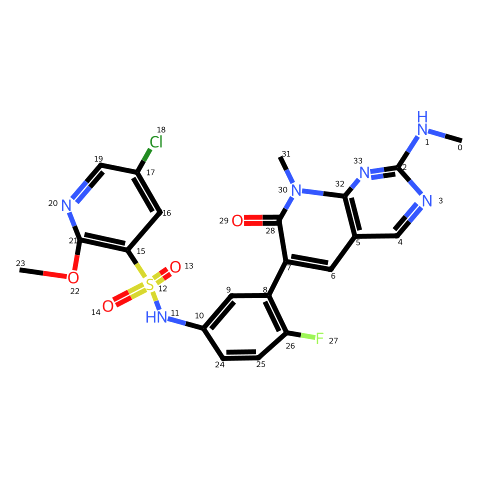 CNc1ncc2cc(-c3cc(NS(=O)(=O)c4cc(Cl)cnc4OC)ccc3F)c(=O)n(C)c2n1